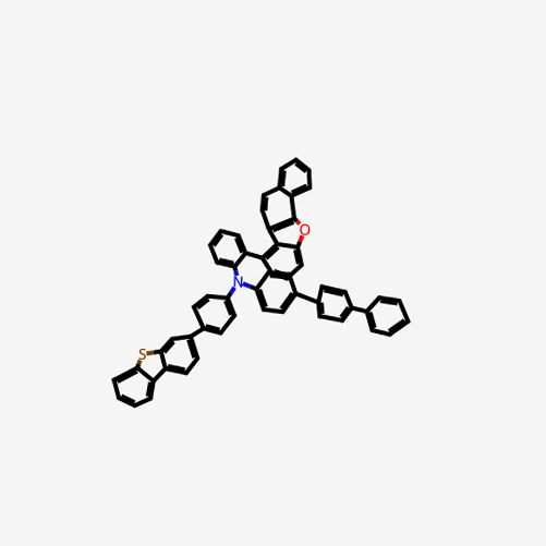 c1ccc(-c2ccc(-c3ccc(N(c4ccc(-c5ccc6c(c5)sc5ccccc56)cc4)c4ccccc4-c4cccc5oc6c7ccccc7ccc6c45)cc3)cc2)cc1